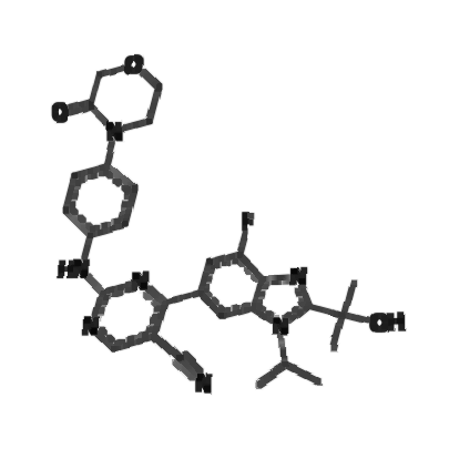 CC(C)n1c(C(C)(C)O)nc2c(F)cc(-c3nc(Nc4ccc(N5CCOCC5=O)cc4)ncc3C#N)cc21